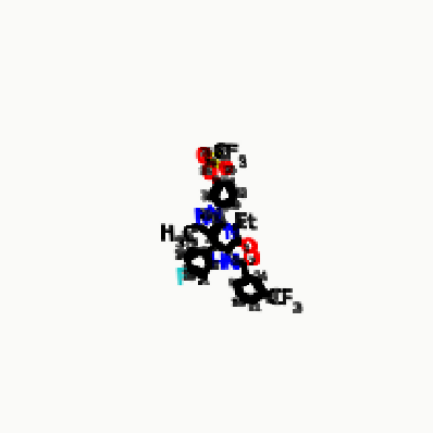 CCN1C(=O)[C@@H](NC(=O)c2cccc(C(F)(F)F)c2)[C@@H](c2ccc(F)cc2)c2c(C)nn(-c3cccc(OS(=O)(=O)C(F)(F)F)c3)c21